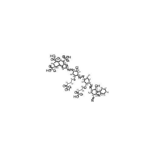 Cc1cc(N=Nc2c(C)c(C#N)c3nc4ccccc4n3c2O)c(OCCCS(=O)(=O)O)cc1N=Nc1cc(Cl)c(N=Nc2nc3c(S(=O)(=O)O)cc4c(S(=O)(=O)O)cc(S(=O)(=O)O)cc4c3s2)cc1SCCCS(=O)(=O)O